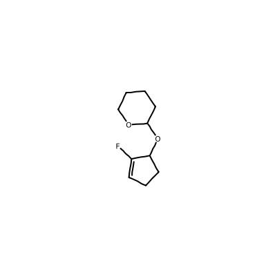 FC1=CCCC1OC1CCCCO1